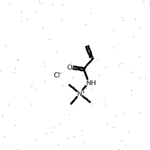 C=CC(=O)N[N+](C)(C)C.[Cl-]